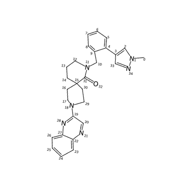 Cn1cc(-c2ccccc2CN2CCCC3(CCN(c4cnc5ccccc5n4)CC3)C2=O)cn1